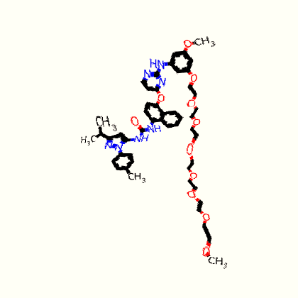 COCCOCCOCCOCCOCCOCCOCCOc1cc(Nc2nccc(Oc3ccc(NC(=O)Nc4cc(C(C)C)nn4-c4ccc(C)cc4)c4ccccc34)n2)cc(OC)c1